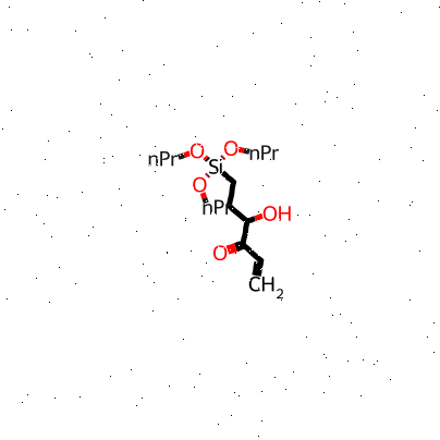 C=CC(=O)C(O)CC[Si](OCCC)(OCCC)OCCC